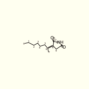 CCCCCC/C(C)=C1/CC(=O)NC1=O